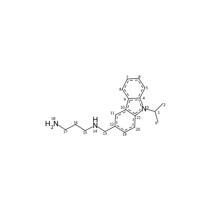 CC(C)n1c2ccccc2c2cc(CNCCCN)ccc21